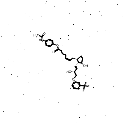 CC(=O)Nc1ccc(OC(=O)CCC/C=C\C[C@H]2CC[C@@H](O)[C@@H]2/C=C/[C@@H](O)COc2cccc(C(F)(F)F)c2)cc1